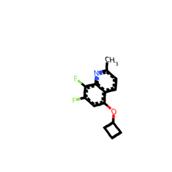 Cc1ccc2c(OC3CCC3)cc(F)c(F)c2n1